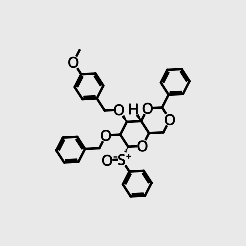 COc1ccc(CO[C@@H]2C(OCc3ccccc3)[C@@H]([S+]([O-])c3ccccc3)OC3COC(c4ccccc4)O[C@H]32)cc1